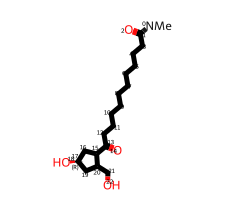 CNC(=O)CCCCCCCCCCC(=O)C1C[C@H](O)CC1CO